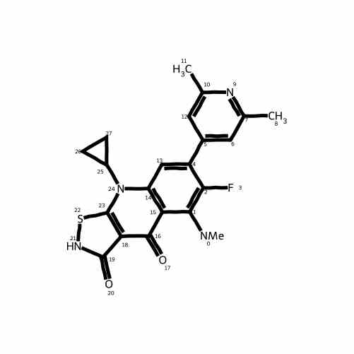 CNc1c(F)c(-c2cc(C)nc(C)c2)cc2c1c(=O)c1c(=O)[nH]sc1n2C1CC1